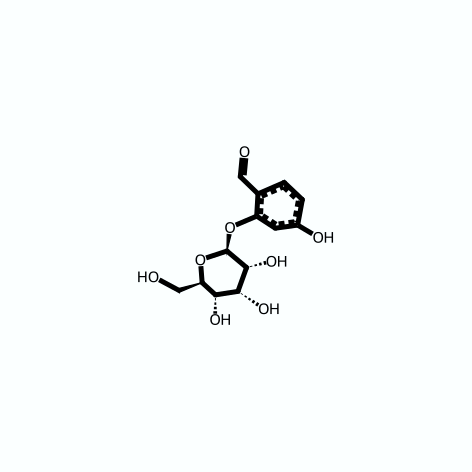 O=Cc1ccc(O)cc1O[C@@H]1O[C@H](CO)[C@@H](O)[C@@H](O)[C@H]1O